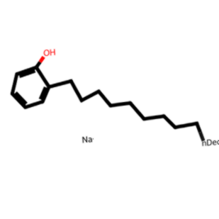 CCCCCCCCCCCCCCCCCCCc1ccccc1O.[Na]